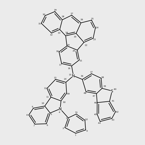 c1ccc(-n2c3ccccc3c3ccc(N(c4ccc5c(c4)-c4cccc6cc7ccccc7c-5c46)c4ccc5sc6ccccc6c5c4)cc32)cc1